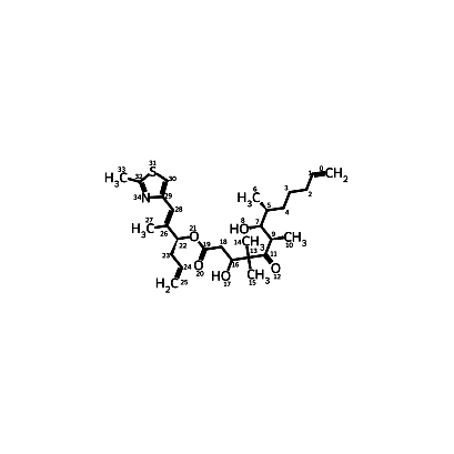 C=CCCC[C@H](C)[C@H](O)[C@@H](C)C(=O)C(C)(C)C(O)CC(=O)O[C@@H](CC=C)/C(C)=C/c1csc(C)n1